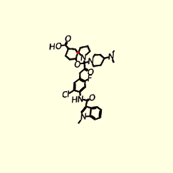 CN(C)C1CCN(C(OC2CCC(C(=O)O)CC2)(C(=O)Cc2cc(Cl)c(NC(=O)c3cn(C)c4ccccc34)cc2F)N2CCCC2)CC1